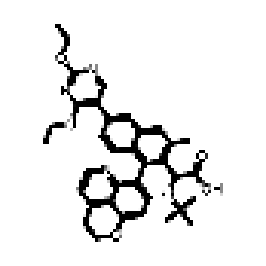 CCOc1ncc(-c2ccc3c(-c4ccc5c6c(ccnc46)CCO5)c(C(OC(C)(C)C)C(=O)O)c(C)cc3c2)c(OCC)n1